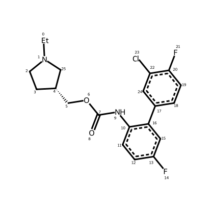 CCN1CC[C@@H](COC(=O)Nc2ccc(F)cc2-c2ccc(F)c(Cl)c2)C1